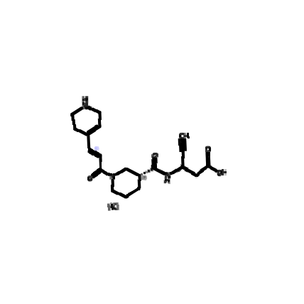 C#CC(CC(=O)O)NC(=O)[C@@H]1CCCN(C(=O)/C=C/C2=CCNCC2)C1.Cl